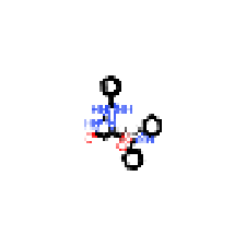 N=C(NC1NC(=O)C=C(COC2(C(=O)NC3(C(=O)O)CCCCC3)CCCCC2)N1)c1ccccc1